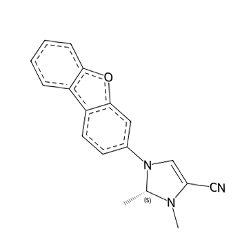 C[C@H]1N(C)C(C#N)=CN1c1ccc2c(c1)oc1ccccc12